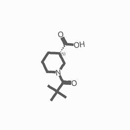 CC(C)(C)C(=O)N1CCC[C@H](C(=O)O)C1